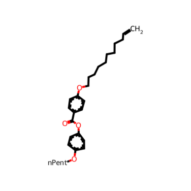 C=CCCCCCCCCCOc1ccc(C(=O)Oc2ccc(OCCCCC)cc2)cc1